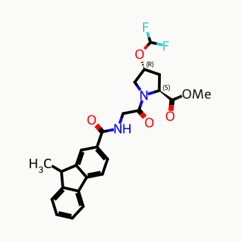 COC(=O)[C@@H]1C[C@@H](OC(F)F)CN1C(=O)CNC(=O)c1ccc2c(c1)C(C)c1ccccc1-2